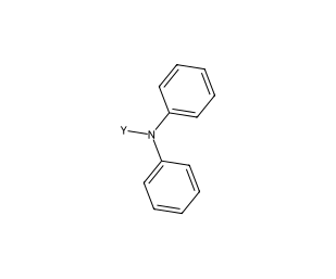 [Y][N](c1ccccc1)c1ccccc1